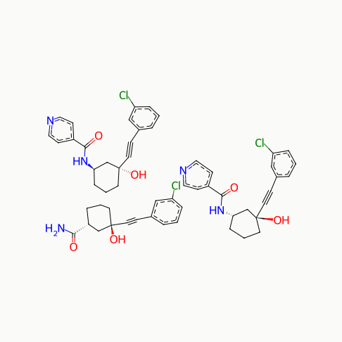 NC(=O)[C@@H]1CCC[C@](O)(C#Cc2cccc(Cl)c2)C1.O=C(N[C@@H]1CCC[C@](O)(C#Cc2cccc(Cl)c2)C1)c1ccncc1.O=C(N[C@H]1CCC[C@@](O)(C#Cc2cccc(Cl)c2)C1)c1ccncc1